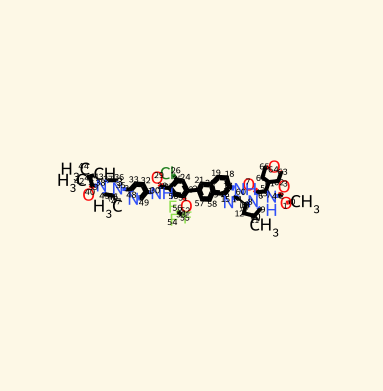 COC(=O)N[C@H](C(=O)N1C[C@@H](C)C[C@H]1c1nc2c(ccc3cc(-c4cc(Cl)c(C(=O)Nc5ccc(N6CCN(C(=O)C(C)(C)C)C[C@H]6C)nc5)cc4OC(F)(F)F)ccc32)[nH]1)C1CCOCC1